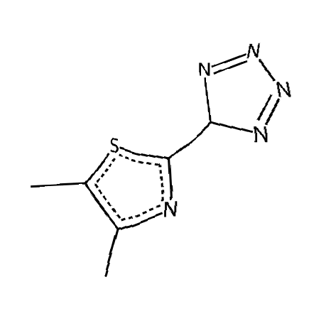 Cc1nc(C2N=NN=N2)sc1C